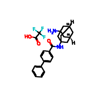 NC12C[C@H]3C[C@@H](C1)CC(NC(=O)c1ccc(-c4ccccc4)cc1)(C3)C2.O=C(O)C(F)(F)F